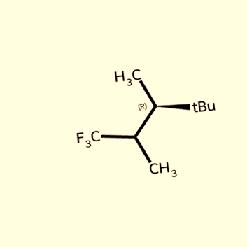 CC([C@@H](C)C(C)(C)C)C(F)(F)F